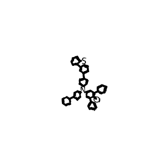 c1ccc(-c2ccc(N(c3ccc(-c4ccc5sc6ccccc6c5c4)cc3)c3cc(-c4ccccc4)c4oc5ccccc5c4c3)cc2)cc1